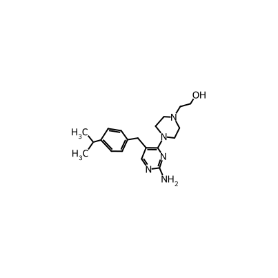 CC(C)c1ccc(Cc2cnc(N)nc2N2CCN(CCO)CC2)cc1